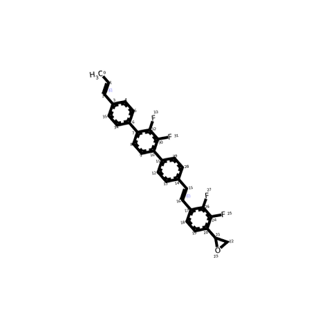 C/C=C/c1ccc(-c2ccc(-c3ccc(/C=C/c4ccc(C5CO5)c(F)c4F)cc3)c(F)c2F)cc1